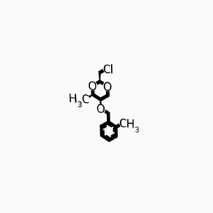 Cc1ccccc1CO[C@@H]1CO[C@H](CCl)O[C@@H]1C